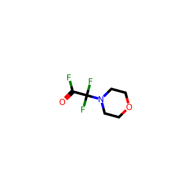 O=C(F)C(F)(F)N1CCOCC1